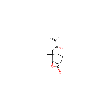 C=C(C)C(=O)CC1(C)CCC2CC1OC2=O